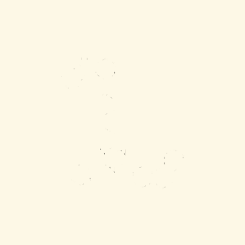 C1=C(c2nc(-c3ccccc3)nc(-c3ccc4ccc5ccccc5c4c3)n2)CCc2cc(-c3cccc4oc5ccccc5c34)ccc21